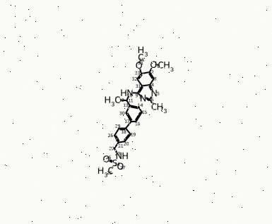 COc1cc2nc(C)nc(NC(C)c3cccc(-c4ccc(CNS(C)(=O)=O)cc4)c3)c2cc1OC